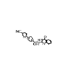 N#Cc1ccc(N2CCN(C(O)CCc3nc4ccccc4c(=O)[nH]3)CC2)nc1